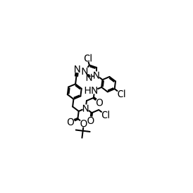 CC(C)(C)OC(=O)C(Cc1ccc(C#N)cc1)N(CC(=O)Nc1cc(Cl)ccc1-n1cc(Cl)nn1)C(=O)CCl